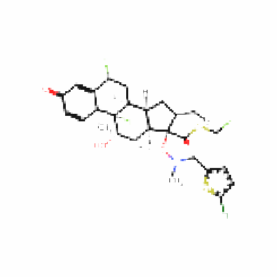 CC[C@@H]1C[C@H]2[C@@H]3C[C@H](F)C4=CC(=O)C=C[C@]4(C)[C@@]3(F)[C@@H](O)C[C@]2(C)[C@@]1(ON(C)Cc1ccc(Cl)s1)C(=O)SCF